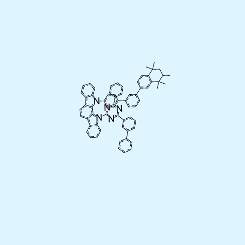 CC1CC(C)(C)c2ccc(-c3cccc(-c4ccc(-n5c6ccccc6c6ccc7c8ccccc8n(-c8nc(-c9ccccc9)nc(-c9cccc(-c%10ccccc%10)c9)n8)c7c65)cc4)c3)cc2C1(C)C